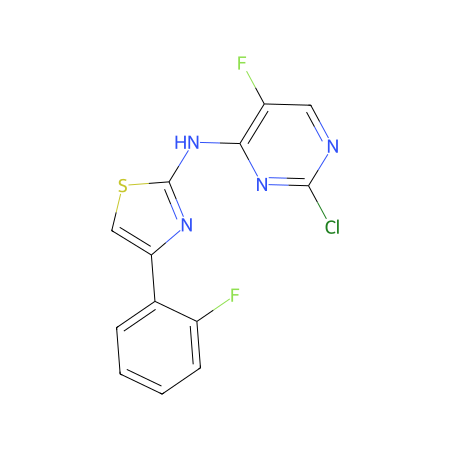 Fc1ccccc1-c1csc(Nc2nc(Cl)ncc2F)n1